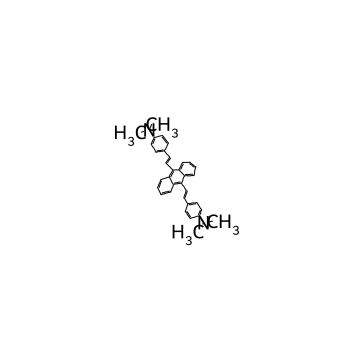 CN(C)c1ccc(/C=C/c2c3ccccc3c(/C=C/c3ccc(N(C)C)cc3)c3ccccc23)cc1